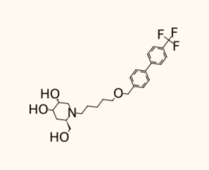 OC[C@H]1CC(O)[C@@H](O)CN1CCCCCOCc1ccc(-c2ccc(C(F)(F)F)cc2)cc1